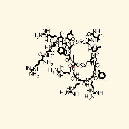 CC[C@H](C)[C@@H]1NC(=O)[C@@H]2CSSC[C@H](NC(=O)[C@H](Cc3ccc(O)cc3)NC(=O)[C@@H](NC(=O)[C@H](CC(C)C)NC(=O)[C@H](CCCNC(=N)N)NC(=O)CNC(=O)CNC(=O)[C@@H](N)CCCNC(=N)N)CSSC[C@@H](C(=O)N[C@H](C(N)=O)C(C)C)NC1=O)C(=O)N[C@@H](CCCNC(=N)N)C(=O)N[C@@H](CCCNC(=N)N)C(=O)N[C@@H](CCCNC(=N)N)C(=O)N[C@@H](Cc1ccccc1)C(=O)N2